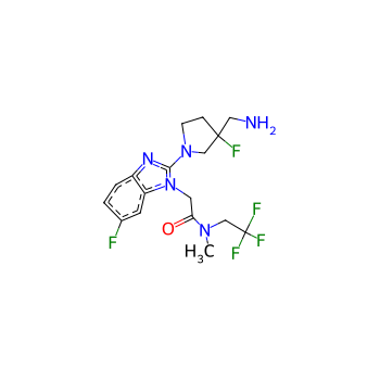 CN(CC(F)(F)F)C(=O)Cn1c(N2CCC(F)(CN)C2)nc2ccc(F)cc21